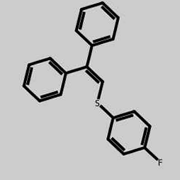 Fc1ccc(SC=C(c2ccccc2)c2ccccc2)cc1